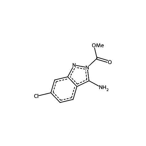 COC(=O)n1nc2cc(Cl)ccc2c1N